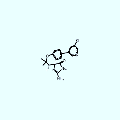 CN1C(=O)[C@]2(N=C1N)c1cc(-c3cncc(Cl)c3)ccc1OC(C)(C)[C@H]2F